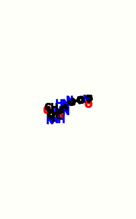 COc1cc(C(=O)Nc2cncc(Nc3ccc(-c4ccc(N5CCCC5=O)cc4)cn3)c2)c2[nH]cnc2c1